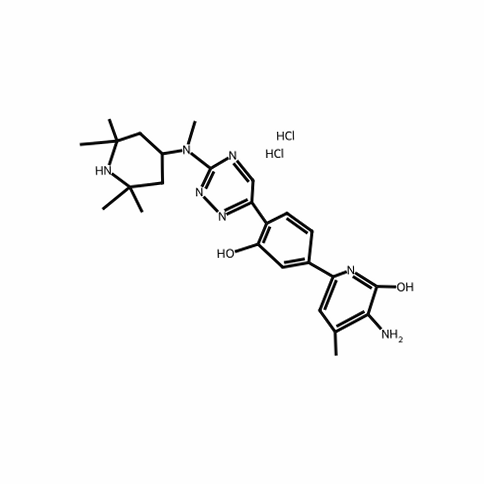 Cc1cc(-c2ccc(-c3cnc(N(C)C4CC(C)(C)NC(C)(C)C4)nn3)c(O)c2)nc(O)c1N.Cl.Cl